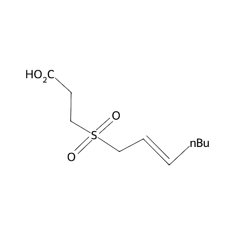 CCCCC=CCS(=O)(=O)CCC(=O)O